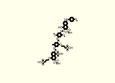 COc1ccc(Nc2ccc3c(O)c(N=Nc4cc(OC)c(N=Nc5cc(C)c(N=Nc6ccc7c(OCCCS(=O)(=O)O)cc(S(=O)(=O)O)cc7c6S(=O)(=O)O)cc5OCCCS(=O)(=O)O)cc4OC)c(S(=O)(=O)O)cc3c2)cc1